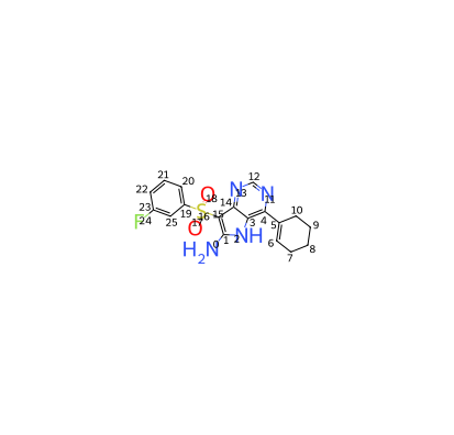 Nc1[nH]c2c(C3=CCCCC3)ncnc2c1S(=O)(=O)c1cccc(F)c1